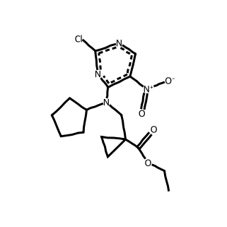 CCOC(=O)C1(CN(c2nc(Cl)ncc2[N+](=O)[O-])C2CCCC2)CC1